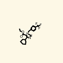 CCOC(=O)c1c(C2CCCCC2)nnn1Cc1ccc(C(F)(F)F)cc1